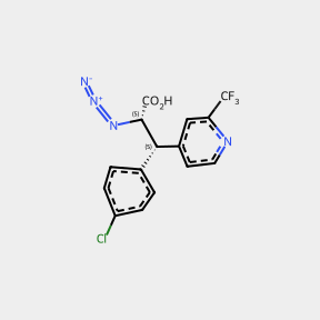 [N-]=[N+]=N[C@H](C(=O)O)[C@@H](c1ccc(Cl)cc1)c1ccnc(C(F)(F)F)c1